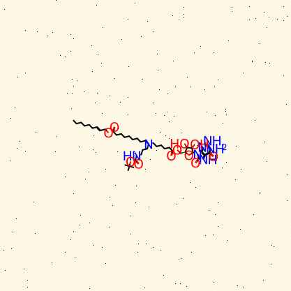 CCCCCC/C=C/COC(=O)CCCCCCCCN(CCCCCC(=O)OC[C@@H]1O[C@H](n2c(=O)[nH]c3c(=O)[nH]c(N)nc32)C(O)C1O)CCCNC(=O)OC(C)(C)C